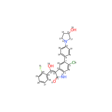 O=C1Nc2cc(Cl)c(-c3ccc(N4CCC(O)C4)cc3)cc2C1=C(O)c1ccccc1F